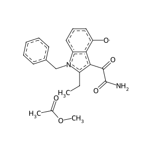 CCc1c(C(=O)C(N)=O)c2c([O])cccc2n1Cc1ccccc1.COC(C)=O